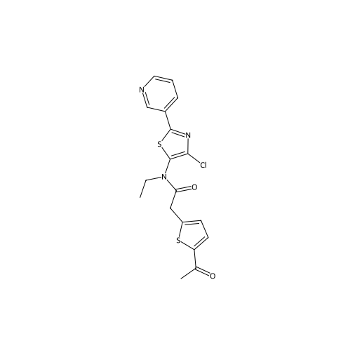 CCN(C(=O)Cc1ccc(C(C)=O)s1)c1sc(-c2cccnc2)nc1Cl